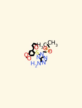 CC(C)CS(=O)(=O)CCn1c(Sc2cc3c(cc2-c2ccco2)OCO3)nc2c(N)ncnc21